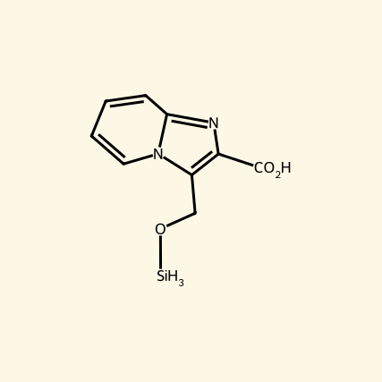 O=C(O)c1nc2ccccn2c1CO[SiH3]